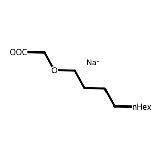 CCCCCCCCCCOCC(=O)[O-].[Na+]